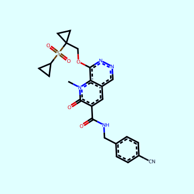 Cn1c(=O)c(C(=O)NCc2ccc(C#N)cc2)cc2cnnc(OCC3(S(=O)(=O)C4CC4)CC3)c21